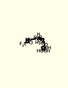 O=C(CCCNc1ncc(C(F)(F)F)cc1Cl)NNS(=O)(=O)c1ccc(CNC(=O)c2ccc(O)c(O)c2O)s1